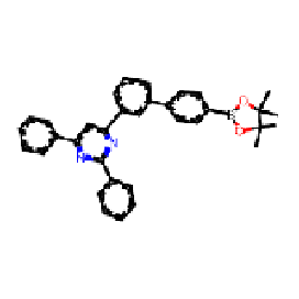 CC1(C)OB(c2ccc(-c3cccc(-c4cc(-c5ccccc5)nc(-c5ccccc5)n4)c3)cc2)OC1(C)C